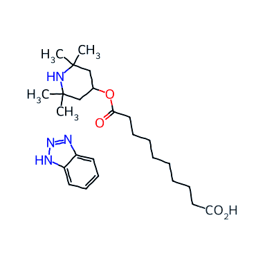 CC1(C)CC(OC(=O)CCCCCCCCC(=O)O)CC(C)(C)N1.c1ccc2[nH]nnc2c1